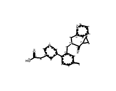 Cc1ccc(-c2cncc(CC(=O)O)c2)c(CN(Cc2ccccn2)C(=O)C2CC2)c1